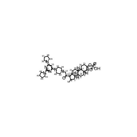 C[C@@H]1C[C@H]2[C@@H]3CC[C@H]4C[C@H](OP(=O)(O)O)CC[C@]4(C)[C@H]3CC[C@]2(C)[C@H]1C(=O)CN1CCN(c2cc(N3CCCC3)nc(N3CCCC3)n2)CC1